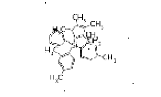 CC1=C(C)C(C)C([Si](c2ccccc2)(c2ccc(C)cc2C)c2ccc(C)cc2C)=C1C